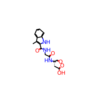 Cc1c(C(=O)NCC(=O)N[C@H](C=O)CC(=O)O)[nH]c2ccccc12